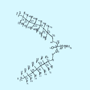 N.O=P(O)(OCCC(F)(F)C(F)(F)C(F)(F)C(F)(F)C(F)(F)C(F)(F)C(F)(F)C(F)(F)F)OCCC(F)(F)C(F)(F)C(F)(F)C(F)(F)C(F)(F)C(F)(F)C(F)(F)C(F)(F)F